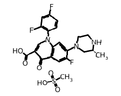 CS(=O)(=O)O.C[C@@H]1CN(c2cc3c(cc2F)c(=O)c(C(=O)O)cn3-c2ccc(F)cc2F)CCN1